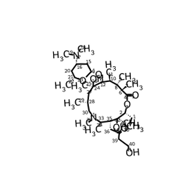 CC[C@H]1OC(=O)[C@H](C)[C@@H](C)[C@H](C)[C@@H](O[C@H]2C[C@@H](N(C)C)C[C@@H](C)O2)[C@](C)(O)C[C@@H](C)CN(C)[C@H](C)[C@@H](CC(=O)CCO)[C@]1(C)O